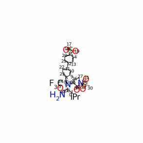 CC(C)C[C@@H](C(N)=O)N([C@@H](c1ccc(-c2ccc(S(C)(=O)=O)cc2)cc1)C(F)(F)F)[C@H]1CCN(S(C)(=O)=O)C1=O